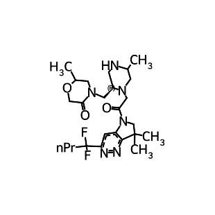 CCCC(F)(F)c1cc2c(nn1)C(C)(C)CN2C(=O)CN1CC(C)NC[C@@H]1CN1CC(C)OCC1=O